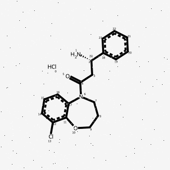 Cl.N[C@@H](CC(=O)N1CCCOc2c(Cl)cccc21)c1ccccc1